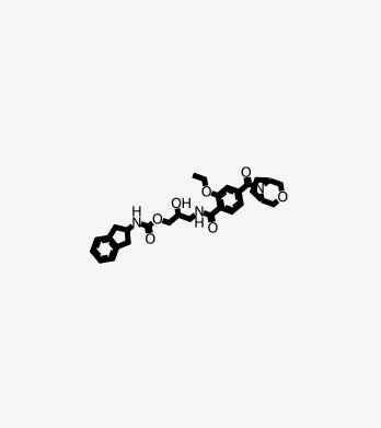 CCOc1cc(C(=O)N2C3CCC2COC3)ccc1C(=O)NCC(O)COC(=O)NC1Cc2ccccc2C1